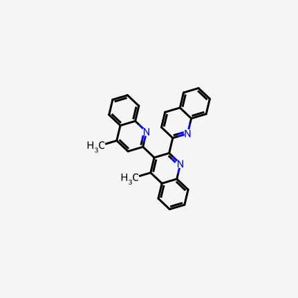 Cc1cc(-c2c(-c3ccc4ccccc4n3)nc3ccccc3c2C)nc2ccccc12